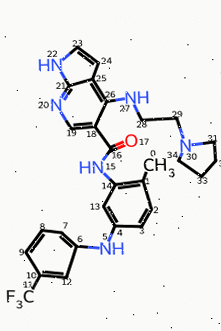 Cc1ccc(Nc2cccc(C(F)(F)F)c2)cc1NC(=O)c1cnc2[nH]ccc2c1NCCN1CCCC1